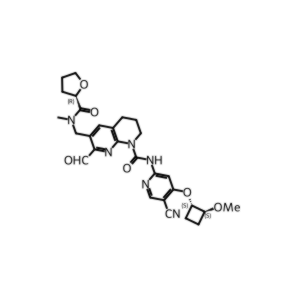 CO[C@H]1CC[C@@H]1Oc1cc(NC(=O)N2CCCc3cc(CN(C)C(=O)[C@H]4CCCO4)c(C=O)nc32)ncc1C#N